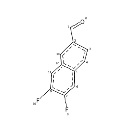 O=Cc1ccc2cc(F)c(F)cc2c1